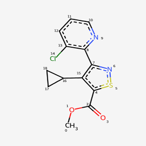 COC(=O)c1snc(-c2ncccc2Cl)c1C1CC1